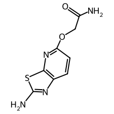 NC(=O)COc1ccc2nc(N)sc2n1